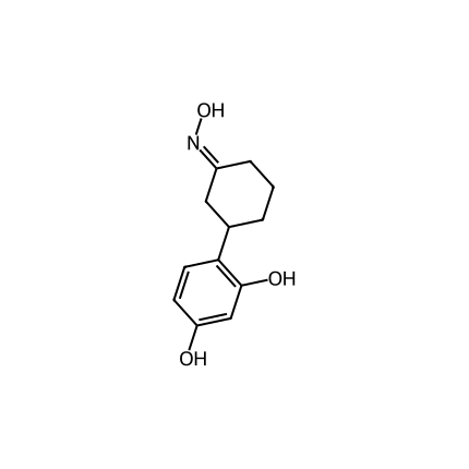 ON=C1CCCC(c2ccc(O)cc2O)C1